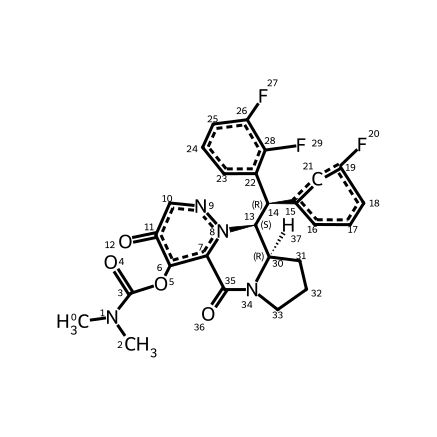 CN(C)C(=O)Oc1c2n(ncc1=O)[C@@H]([C@H](c1cccc(F)c1)c1cccc(F)c1F)[C@H]1CCCN1C2=O